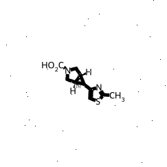 Cc1nc(C2[C@H]3CN(C(=O)O)C[C@H]23)cs1